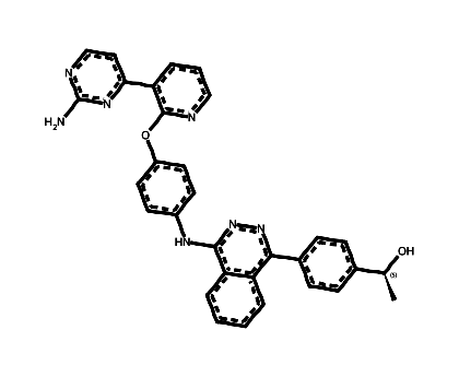 C[C@H](O)c1ccc(-c2nnc(Nc3ccc(Oc4ncccc4-c4ccnc(N)n4)cc3)c3ccccc23)cc1